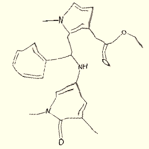 COC(=O)c1ccn(C)c1C(Nc1cc(C)c(=O)n(C)c1)c1ccccc1